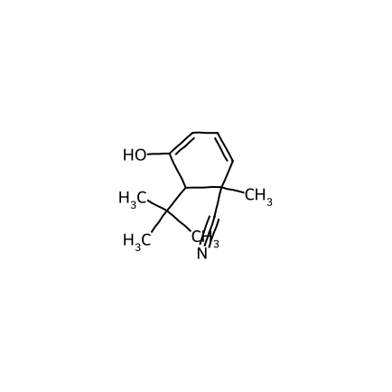 CC(C)(C)C1C(O)=CC=CC1(C)C#N